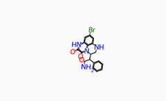 NC(=O)C(c1ccccc1)C1CNc2cc(Br)cc3[nH]c(=O)c(=O)n1c23